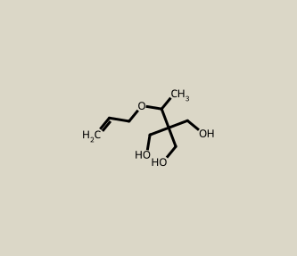 C=CCOC(C)C(CO)(CO)CO